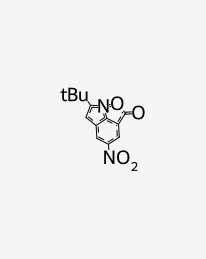 CC(C)(C)c1cc2cc([N+](=O)[O-])cc3c(=O)on1c23